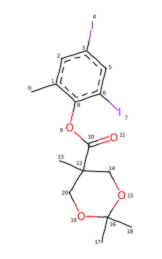 Cc1cc(I)cc(I)c1OC(=O)C1(C)COC(C)(C)OC1